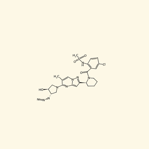 Cc1cn2nc([C@@H]3CCCCN3C(=O)c3cc(Cl)ccc3NS(C)(=O)=O)cc2nc1N1C[C@H](N=[N+]=[N-])[C@@H](O)C1